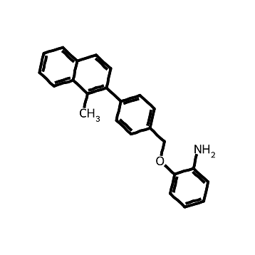 Cc1c(-c2ccc(COc3ccccc3N)cc2)ccc2ccccc12